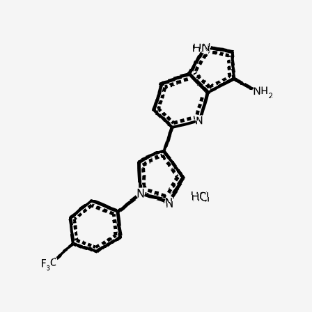 Cl.Nc1c[nH]c2ccc(-c3cnn(-c4ccc(C(F)(F)F)cc4)c3)nc12